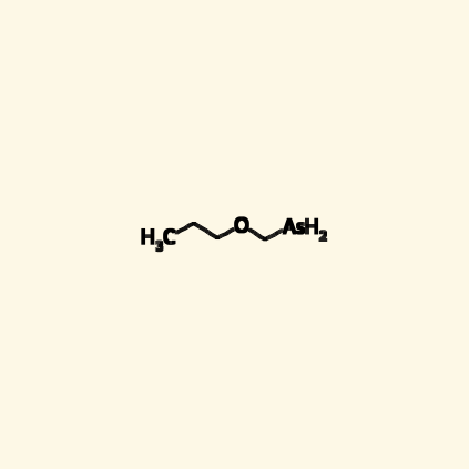 CCCOC[AsH2]